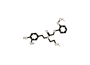 CCCN(CCc1ccc(O)c(O)c1)C(=O)COc1ccccc1OC